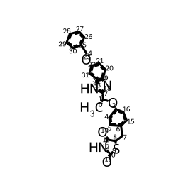 CC(Oc1ccc(CC2SC(=O)NC2=O)cc1)c1nc2ccc(OCc3ccccc3)cc2[nH]1